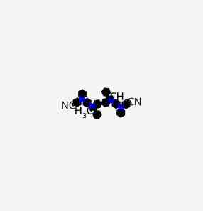 Cc1c(-c2ccccc2)c2cc(-c3ccc4c(c3)c(-c3ccccc3)c(C)n4-c3ccc(N(c4ccccc4)c4ccc(C#N)cc4)cc3)ccc2n1-c1ccc(N(c2ccccc2)c2ccc(C#N)cc2)cc1